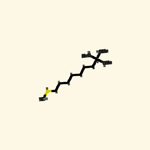 CO[Si](CCCCCCCSC#N)(OC)OC